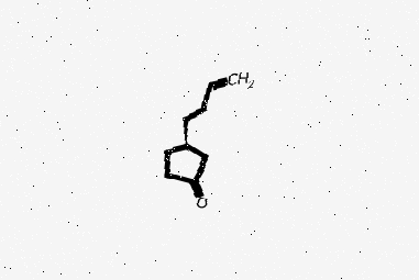 C=CCC[C@@H]1CCC(=O)C1